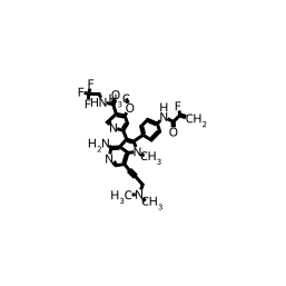 C=C(F)C(=O)Nc1ccc(-c2c(-c3cc(OC)c(C(=O)NCC(F)(F)F)cn3)c3c(N)ncc(C#CCN(C)C)c3n2C)cc1